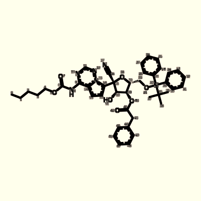 CCCCCOC(=O)Nc1ncnn2c([C@]3(C#N)O[C@H](CO[Si](c4ccccc4)(c4ccccc4)C(C)(C)C)[C@@H](OC(=O)Cc4ccccc4)[C@H]3O)ccc12